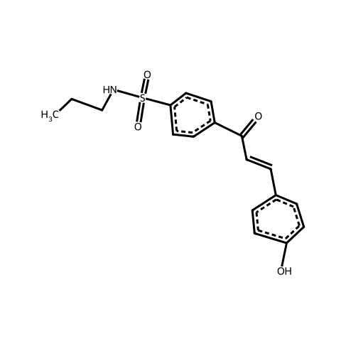 CCCNS(=O)(=O)c1ccc(C(=O)/C=C/c2ccc(O)cc2)cc1